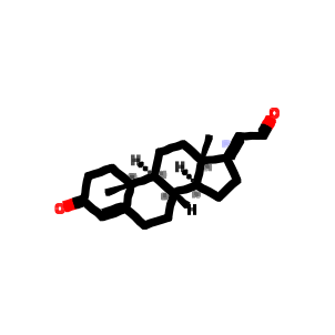 C[C@]12CCC(=O)C=C1CC[C@@H]1[C@@H]2CC[C@]2(C)/C(=C/C=O)CC[C@@H]12